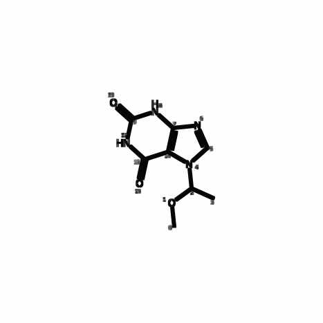 COC(C)n1cnc2[nH]c(=O)[nH]c(=O)c21